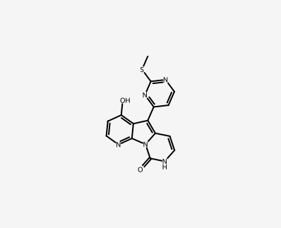 CSc1nccc(-c2c3c(O)ccnc3n3c(=O)[nH]ccc23)n1